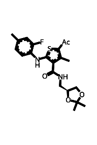 CC(=O)c1sc(Nc2ccc(C)cc2F)c(C(=O)NC[C@H]2COC(C)(C)O2)c1C